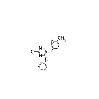 Cc1ccc(Cc2cnc(Cl)nc2Oc2ccccc2)cn1